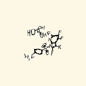 Cc1ccc(S(=O)(=O)n2c(F)[c]([K])c3c(F)c(F)c(F)nc32)cc1.OB(O)O